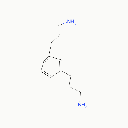 NCCCc1cccc(CCCN)c1